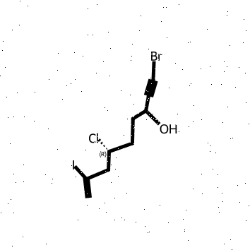 C=C(I)C[C@H](Cl)CCC(O)C#CBr